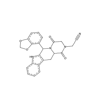 N#CCN1CC(=O)N2C(Cc3c([nH]c4ccccc34)C2c2cccc3c2OCO3)C1=O